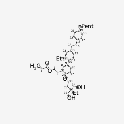 C=CC(=O)OCCc1cc(-c2ccc(CCc3ccc(CCCCC)cc3)cc2CC)ccc1OCCC(CC)(CO)CO